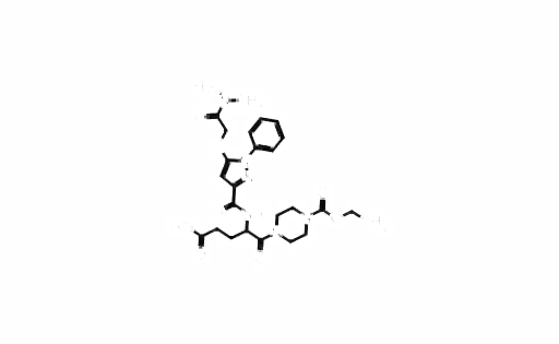 CCOC(=O)N1CCN(C(=O)C(CCC(=O)O)NC(=O)c2cc(OCC(=O)N(C)C)n(-c3ccccc3)n2)CC1